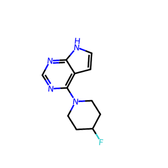 FC1CCN(c2ncnc3[nH]ccc23)CC1